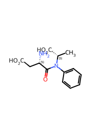 C[C@@H](C(=O)O)N(C(=O)[C@@H](N)CC(=O)O)c1ccccc1